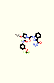 CO[C@H]1[C@@H](C(=O)N(F)c2cccc(OC(F)(F)F)c2)N(C(=O)Cn2nc(C(N)=O)c3ccccc32)C[C@@H]1F